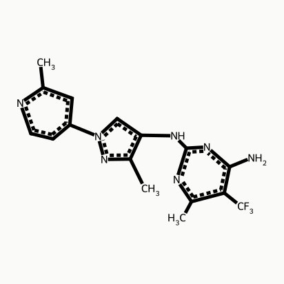 Cc1cc(-n2cc(Nc3nc(C)c(C(F)(F)F)c(N)n3)c(C)n2)ccn1